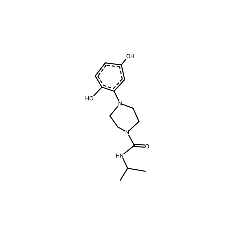 CC(C)NC(=O)N1CCN(c2cc(O)ccc2O)CC1